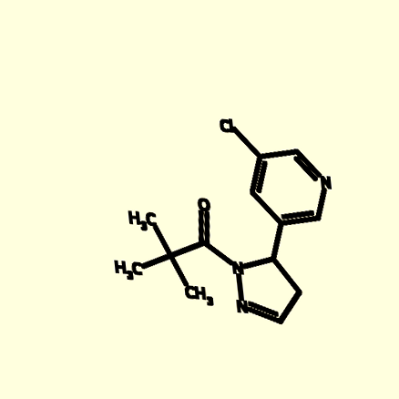 CC(C)(C)C(=O)N1N=CCC1c1cncc(Cl)c1